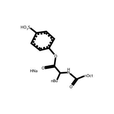 CCCCCCCCC(=O)NC(CCCC)C(=O)Oc1ccc(S(=O)(=O)O)cc1.[NaH]